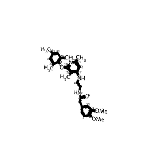 COc1ccc(CC(=O)NCCNc2cc(C)nc(Oc3c(C)cc(C)cc3C)c2C)cc1OC